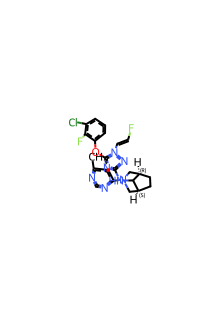 Cc1cc(N2C[C@H]3CC[C@@H](C2)C3Nc2nc(Oc3cccc(Cl)c3F)n(C=CF)n2)ncn1